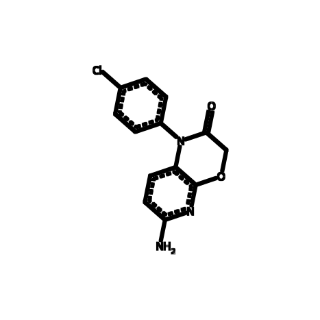 Nc1ccc2c(n1)OCC(=O)N2c1ccc(Cl)cc1